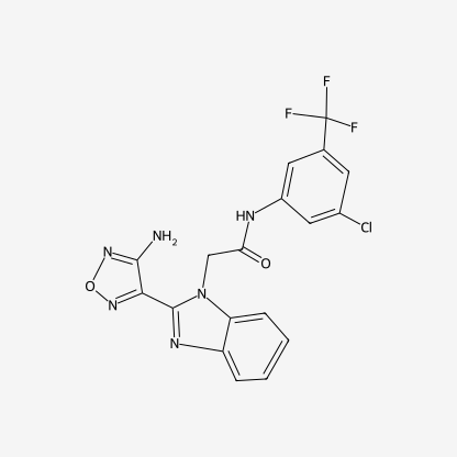 Nc1nonc1-c1nc2ccccc2n1CC(=O)Nc1cc(Cl)cc(C(F)(F)F)c1